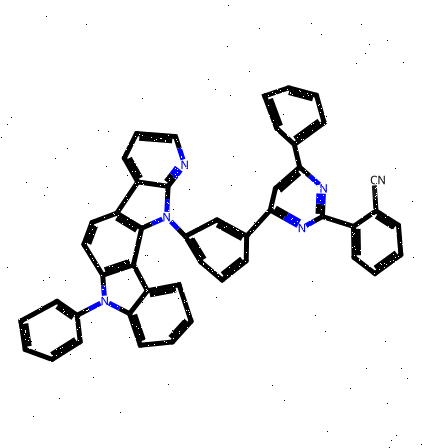 N#Cc1ccccc1-c1nc(-c2ccccc2)cc(-c2cccc(-n3c4ncccc4c4ccc5c(c6ccccc6n5-c5ccccc5)c43)c2)n1